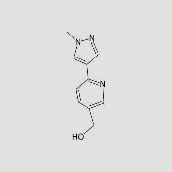 Cn1cc(-c2ccc(CO)cn2)cn1